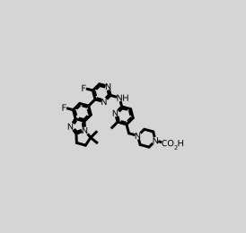 Cc1nc(Nc2ncc(F)c(-c3cc(F)c4nc5n(c4c3)C(C)(C)CC5)n2)ccc1CN1CCN(C(=O)O)CC1